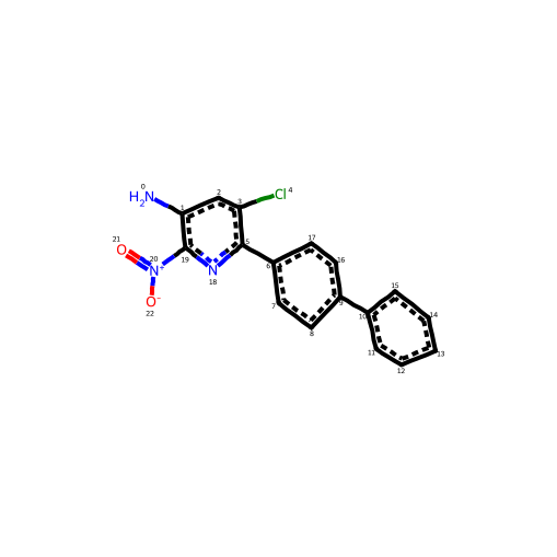 Nc1cc(Cl)c(-c2ccc(-c3ccccc3)cc2)nc1[N+](=O)[O-]